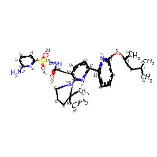 CC(C)CC(C)Oc1cccc(-c2ccc(C(=O)NS(=O)(=O)c3cccc(N)n3)c(N3CCCC3(C)C)n2)n1